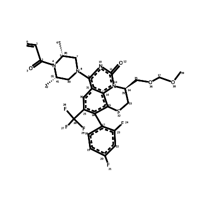 C=CC(=O)N1[C@H](C)CN(c2nc(=O)n3c4c(c(-c5ccc(F)cc5F)c(C(F)(F)F)cc24)SC[C@@H]3COCOC)C[C@@H]1C